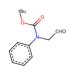 CC(C)(C)OC(=O)N(CC=O)c1ccccc1